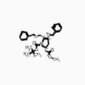 COC(=O)C[C@H]1C[C@H](OCc2ccccc2)[C@H](COCc2ccccc2)N1C(=O)OC(C)(C)C